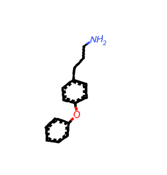 NCCCc1ccc(Oc2ccccc2)cc1